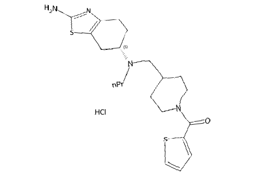 CCCN(CC1CCN(C(=O)c2cccs2)CC1)[C@H]1CCc2nc(N)sc2C1.Cl